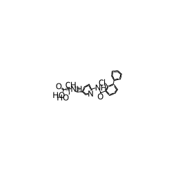 C[C@@](CO)(NCc1ccc(NC(=O)c2cccc(-c3ccccc3)c2Cl)nc1)C(=O)O